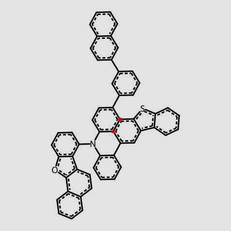 c1cc(-c2ccc(N(c3ccccc3-c3ccc4sc5ccccc5c4c3)c3cccc4oc5c6ccccc6ccc5c34)cc2)cc(-c2ccc3ccccc3c2)c1